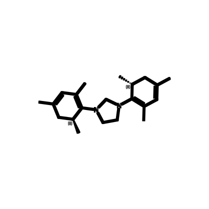 CC1=CC(C)=C(N2CCN(C3=C(C)C=C(C)C[C@@H]3C)C2)[C@H](C)C1